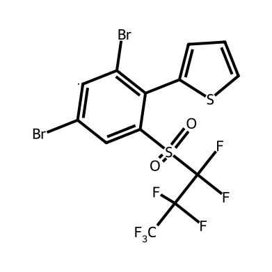 O=S(=O)(c1cc(Br)[c]c(Br)c1-c1cccs1)C(F)(F)C(F)(F)C(F)(F)F